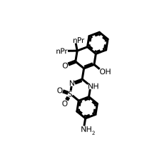 CCCC1(CCC)C(=O)C(C2=NS(=O)(=O)c3cc(N)ccc3N2)=C(O)c2ccccc21